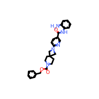 Nc1ccccc1NC(=O)c1ccc(N2CC3(CCN(C(=O)OCc4ccccc4)CC3)C2)nc1